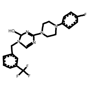 OC1N=C(N2CCN(c3ccc(F)cc3)CC2)N=CN1Cc1cccc(C(F)(F)F)c1